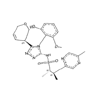 COc1cccc(O)c1-n1c(NS(=O)(=O)[C@@H](C)[C@H](C)c2cnc(C)cn2)nnc1[C@H]1C=CCOC1